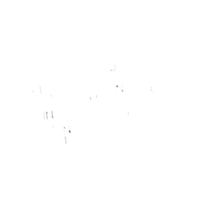 C=C1Nc2c(Cl)cc3cc(C(=O)N4CCCC(O)C4)oc3c2C2(CCCCC2)N1